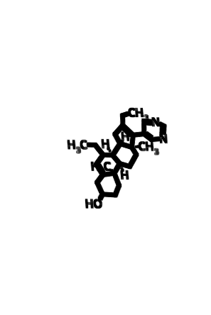 CCC1=C(c2cncnc2)[C@@]2(C)CC[C@@H]3[C@@H](C(CC)C=C4CC(O)CC[C@@]43C)[C@@H]2C1